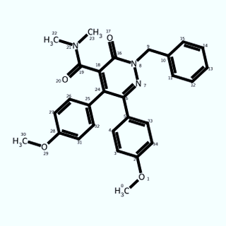 COc1ccc(-c2nn(Cc3ccccc3)c(=O)c(C(=O)N(C)C)c2-c2ccc(OC)cc2)cc1